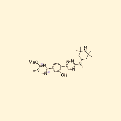 C=N/C(=N\C(=N/C)c1ccc(-c2cnc(N(C)C3CC(C)(C)NC(C)(C)C3)nn2)c(O)c1)OC